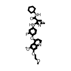 COCCOc1cc2nccc(Oc3ccc(Nc4nn(C)cc4C(=O)NC4CCCCC4)cc3F)c2cc1OC